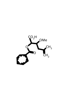 C=C(C)CC(OC)C(OC(=O)c1ccccc1)C(=O)O